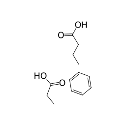 CCC(=O)O.CCCC(=O)O.c1ccccc1